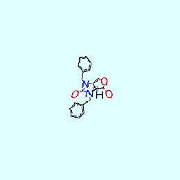 O=C1OC=C2[C@@H]1N(Cc1ccccc1)C(=O)N2Cc1ccccc1